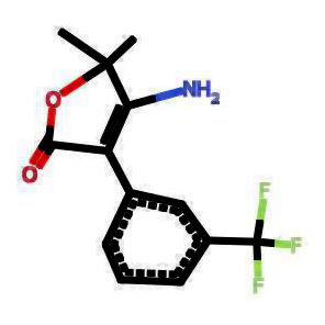 CC1(C)OC(=O)C(c2cccc(C(F)(F)F)c2)=C1N